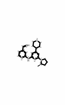 C[C@@H]1CCCN1c1cc(C2CCOCC2)cc(Nc2cc(C=N)ccn2)n1